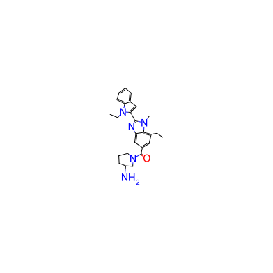 CCc1cc(C(=O)N2CCCC(N)C2)cc2nc(-c3cc4ccccc4n3CC)n(C)c12